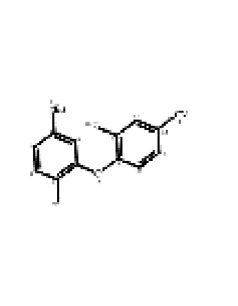 Cc1ccc(C(C)(C)C)cc1Oc1ccc(C#N)cc1F